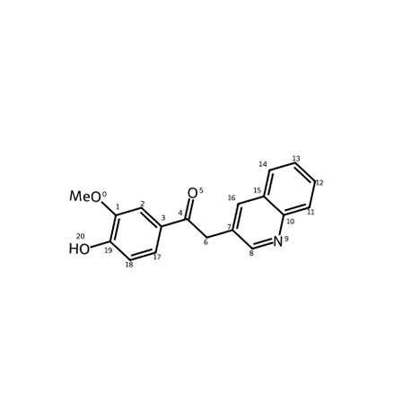 COc1cc(C(=O)Cc2cnc3ccccc3c2)ccc1O